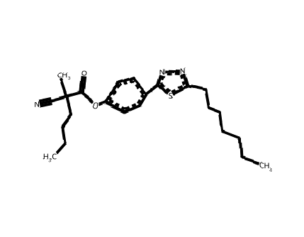 CCCCCCCc1nnc(-c2ccc(OC(=O)C(C)(C#N)CCCC)cc2)s1